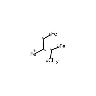 [CH2][CH2][Fe].[Fe][CH2][CH2][Fe]